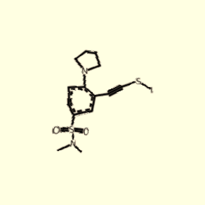 CN(C)S(=O)(=O)c1ccc(N2CCCC2)c(C#CSI)c1